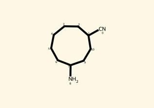 N#CC1CCCCCC(N)CC1